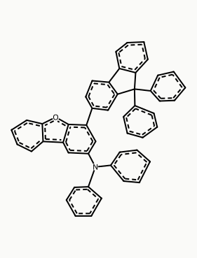 c1ccc(N(c2ccccc2)c2cc(-c3ccc4c(c3)C(c3ccccc3)(c3ccccc3)c3ccccc3-4)c3oc4ccccc4c3c2)cc1